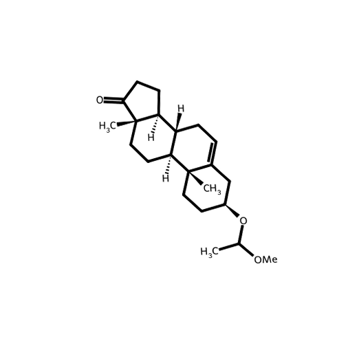 COC(C)O[C@H]1CC[C@@]2(C)C(=CC[C@@H]3[C@@H]2CC[C@]2(C)C(=O)CC[C@@H]32)C1